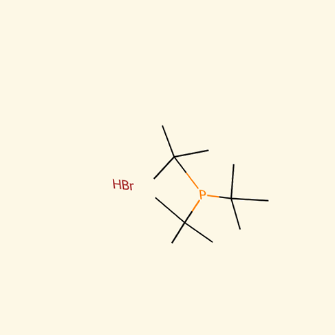 Br.CC(C)(C)P(C(C)(C)C)C(C)(C)C